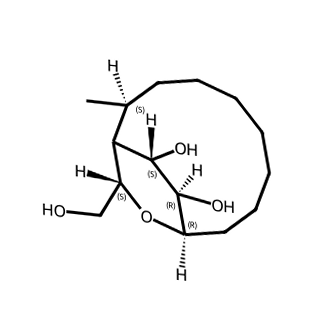 C[C@H]1CCCCCCC[C@H]2O[C@H](CO)C1[C@H](O)[C@H]2O